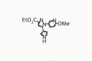 CCOC(=O)c1cc(-c2cc[nH]c2)n(-c2ccc(OC)nc2)n1